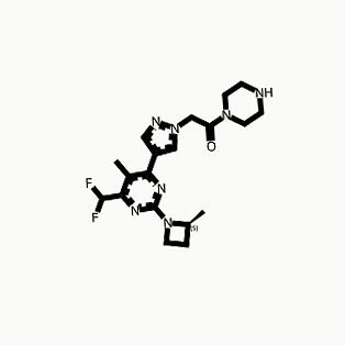 Cc1c(-c2cnn(CC(=O)N3CCNCC3)c2)nc(N2CC[C@@H]2C)nc1C(F)F